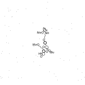 COCCCC(OC1CN(C(=O)OC(C)(C)C)CCC1c1ccc(OCCCCNc2ncncc2OC)cc1)c1ccc2c(c1)NC(=O)CC2